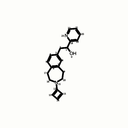 OC(Cc1ccc2c(c1)CCN(C1=CC=C1)CC2)c1ccccn1